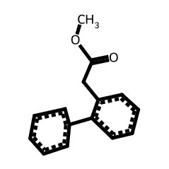 COC(=O)Cc1ccccc1-c1ccccc1